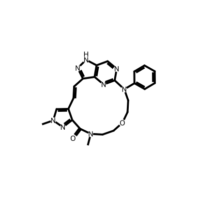 CN1CCOCCN(c2ccccc2)c2ncc3[nH]nc(c3n2)/C=C/c2cn(C)nc2C1=O